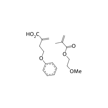 C=C(C)C(=O)OCCOC.C=C(CCOc1ccccc1)C(=O)O